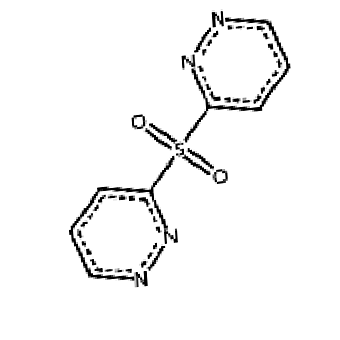 O=S(=O)(c1cccnn1)c1cccnn1